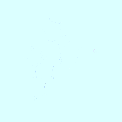 OCC1CCN(c2nc(CCl)nc3scc(-c4ccccc4)c23)CC1